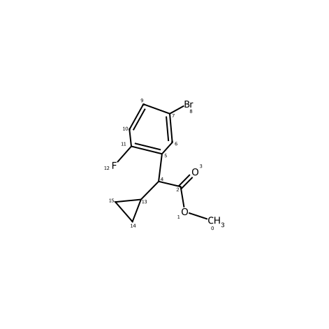 COC(=O)C(c1cc(Br)ccc1F)C1CC1